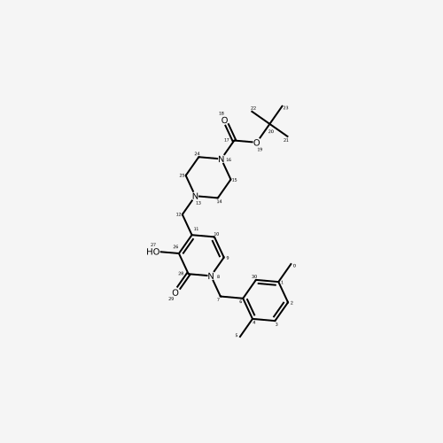 Cc1ccc(C)c(Cn2ccc(CN3CCN(C(=O)OC(C)(C)C)CC3)c(O)c2=O)c1